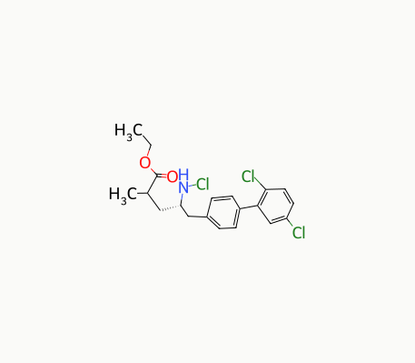 CCOC(=O)C(C)C[C@@H](Cc1ccc(-c2cc(Cl)ccc2Cl)cc1)NCl